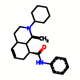 C=C1C2C(C=CC[C@@H]2C(=O)Nc2ccccc2)CCN1C1CCCCC1